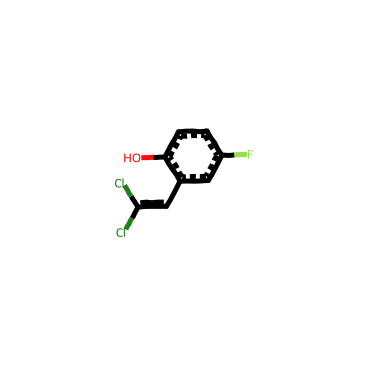 Oc1ccc(F)cc1C=C(Cl)Cl